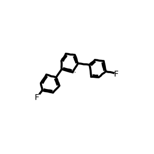 Fc1ccc(-c2[c]c(-c3ccc(F)cc3)ccc2)cc1